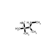 CCCC[Si](C)(C)N(C)[SiH2]C